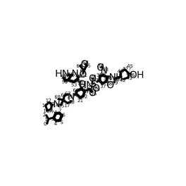 CC(C)c1ccccc1[C@@H]1CCC[C@@H]1N1CC2(CCN(c3ccc(C(=O)NS(=O)(=O)c4cc(N=O)c5c(c4)OC[C@H]([C@H]4CC[C@](C)(O)CC4)N5)c(Oc4cc5cc[nH]c5nc4OC4COC4)c3)CC2)C1